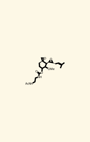 COC1C(OC(=O)NCCNC(C)=O)CC[C@]2(CO2)C1[C@H]1O[C@@H]1CC=C(C)C